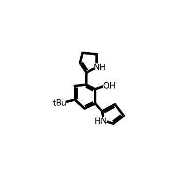 CC(C)(C)c1cc(C2=CCCN2)c(O)c(-c2ccc[nH]2)c1